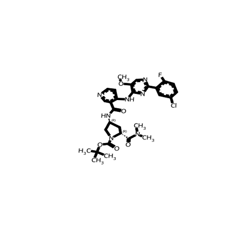 COc1cnc(-c2cc(Cl)ccc2F)nc1Nc1ccncc1C(=O)N[C@@H]1C[C@H](C(=O)N(C)C)N(C(=O)OC(C)(C)C)C1